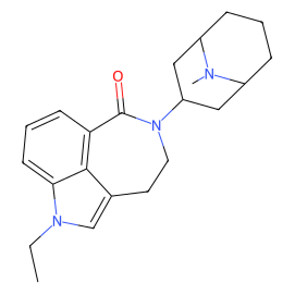 CCn1cc2c3c(cccc31)C(=O)N(C1CC3CCCC(C1)N3C)CC2